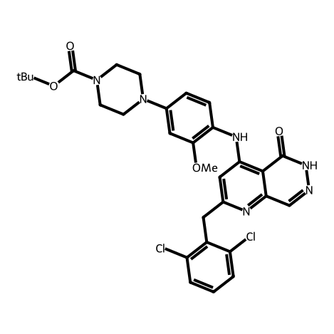 COc1cc(N2CCN(C(=O)OC(C)(C)C)CC2)ccc1Nc1cc(Cc2c(Cl)cccc2Cl)nc2cn[nH]c(=O)c12